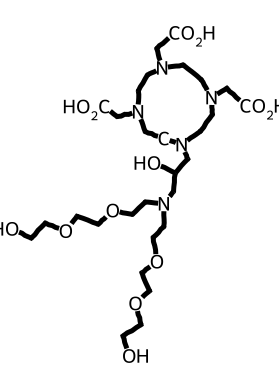 O=C(O)CN1CCN(CC(=O)O)CCN(CC(O)CN(CCOCCOCCO)CCOCCOCCO)CCN(CC(=O)O)CC1